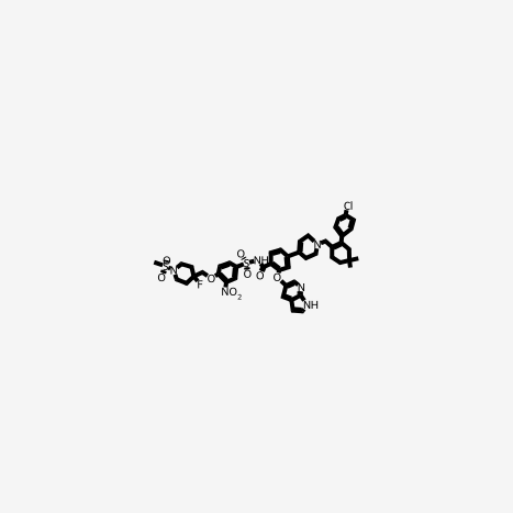 CC1(C)CCC(CN2CC=C(c3ccc(C(=O)NS(=O)(=O)c4ccc(OCC5(F)CCN(S(C)(=O)=O)CC5)c([N+](=O)[O-])c4)c(Oc4cnc5[nH]ccc5c4)c3)CC2)=C(c2ccc(Cl)cc2)C1